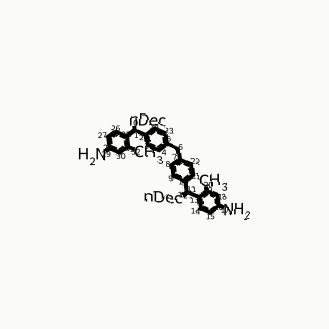 CCCCCCCCCCC(c1ccc(Cc2ccc(C(CCCCCCCCCC)c3ccc(N)cc3C)cc2)cc1)c1ccc(N)cc1C